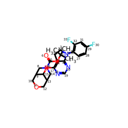 CC(C)(C)OC(=O)N1CC2COCC(C1)C2Oc1ncnc2c1CCN2c1ccc(F)cc1F